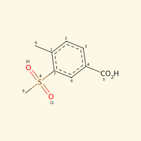 Cc1ccc(C(=O)O)cc1S(C)(=O)=O